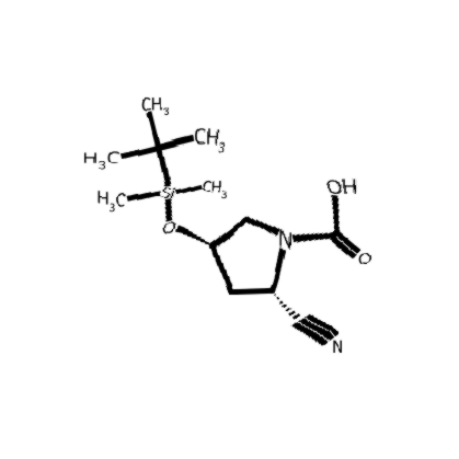 CC(C)(C)[Si](C)(C)O[C@@H]1C[C@@H](C#N)N(C(=O)O)C1